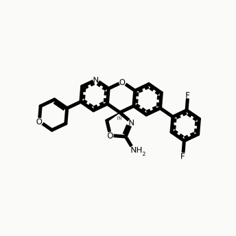 NC1=N[C@@]2(CO1)c1cc(-c3cc(F)ccc3F)ccc1Oc1ncc(C3=CCOCC3)cc12